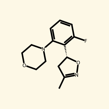 CC1=NO[C@@H](c2c(F)cccc2N2CCOCC2)C1